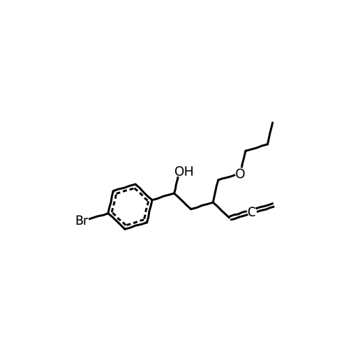 C=C=CC(COCCC)CC(O)c1ccc(Br)cc1